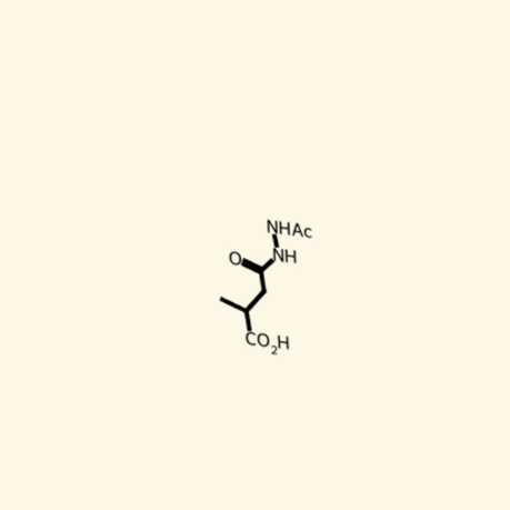 CC(=O)NNC(=O)CC(C)C(=O)O